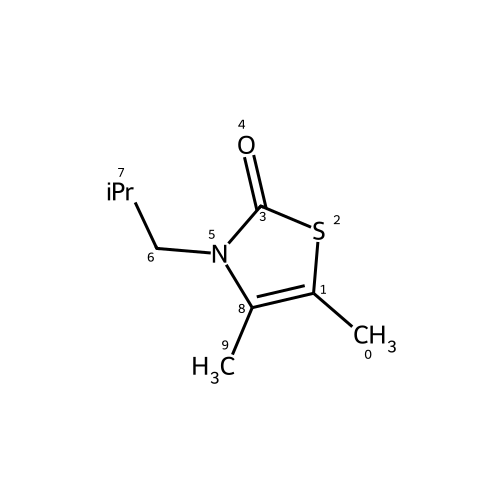 Cc1sc(=O)n(CC(C)C)c1C